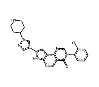 O=c1c2cnc3[nH]c(-c4cnn(C5CCNCC5)c4)cc3c2ncn1-c1ccccc1Cl